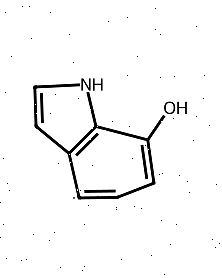 Oc1cc[c]c2cc[nH]c12